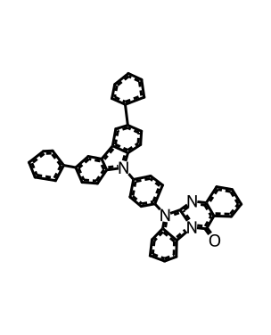 O=c1c2ccccc2nc2n(-c3ccc(-n4c5ccc(-c6ccccc6)cc5c5cc(-c6ccccc6)ccc54)cc3)c3ccccc3n12